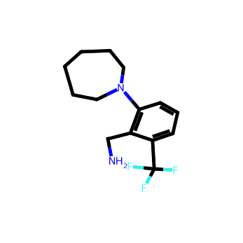 NCc1c(N2CCCCCC2)cccc1C(F)(F)F